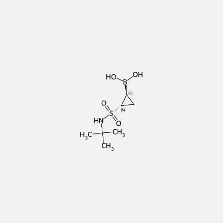 CC(C)(C)NS(=O)(=O)[C@H]1C[C@@H]1B(O)O